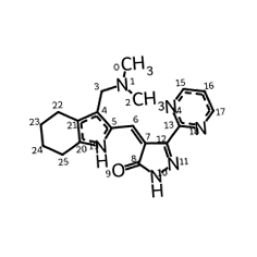 CN(C)Cc1c(C=C2C(=O)NN=C2c2ncccn2)[nH]c2c1CCCC2